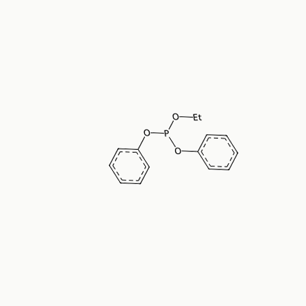 CCOP(Oc1ccccc1)Oc1ccccc1